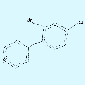 Clc1ccc(-c2ccncc2)c(Br)c1